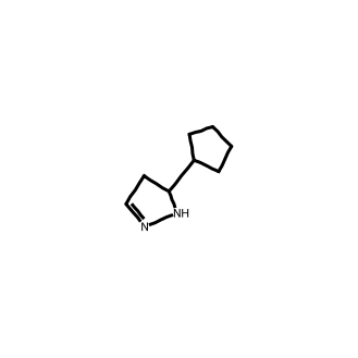 C1=NNC(C2CCCC2)C1